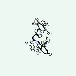 CC1=CC(=O)CC(C)(C)[C@@]1(O)/C=C/C(C)=C\C(=O)O[C@@H]1O[C@H](CO)[C@@H](O)[C@H](O)[C@H]1O